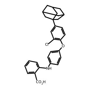 O=C(O)c1ccccc1Nc1ccc(Oc2ccc(C34CC5CC(CC(C5)C3)C4)cc2Cl)cc1